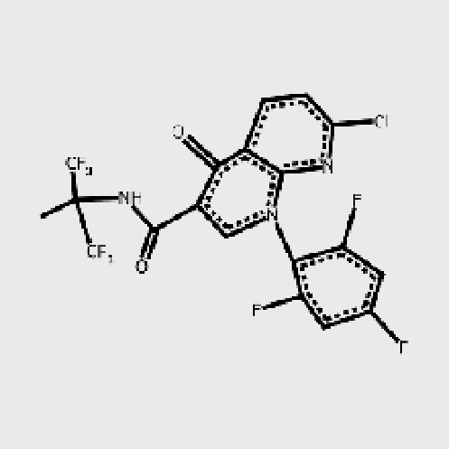 CC(NC(=O)c1cn(-c2c(F)cc(F)cc2F)c2nc(Cl)ccc2c1=O)(C(F)(F)F)C(F)(F)F